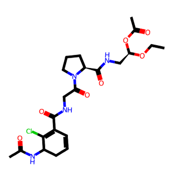 CCO[C@@H](CNC(=O)[C@@H]1CCCN1C(=O)CNC(=O)C1=C(Cl)C(NC(C)=O)CC=C1)OC(C)=O